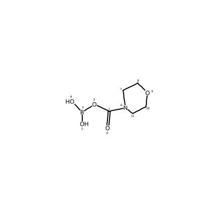 O=C(OB(O)O)N1CCOCC1